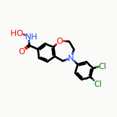 O=C(NO)c1ccc2c(c1)OCCN(c1ccc(Cl)c(Cl)c1)C2